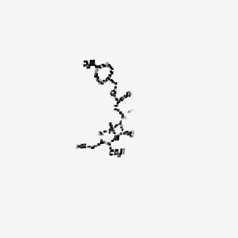 C[C@@H](OC(=O)OCc1ccc([N+](=O)[O-])cc1)C1C(=O)N2C(C(=O)O)=C(CO)S[C@H]12